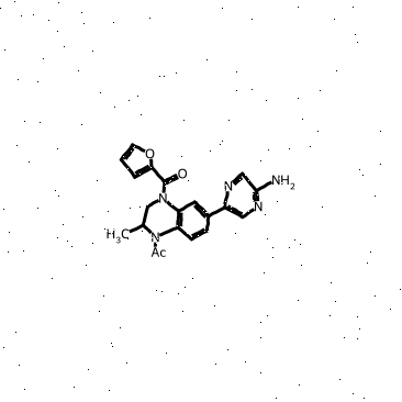 CC(=O)N1c2ccc(-c3cnc(N)cn3)cc2N(C(=O)c2ccco2)CC1C